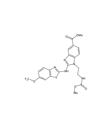 COC(=O)c1ccc2c(c1)nc(Nc1nc3ccc(OC(F)(F)F)cc3s1)n2CCNC(=O)OC(C)(C)C